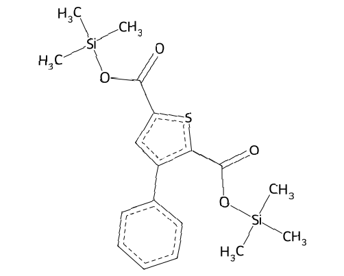 C[Si](C)(C)OC(=O)c1cc(-c2ccccc2)c(C(=O)O[Si](C)(C)C)s1